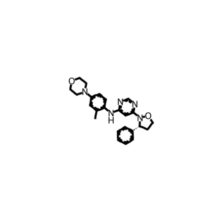 Cc1cc(N2CCOCC2)ccc1Nc1cc(N2OCC[C@@H]2c2ccccc2)ncn1